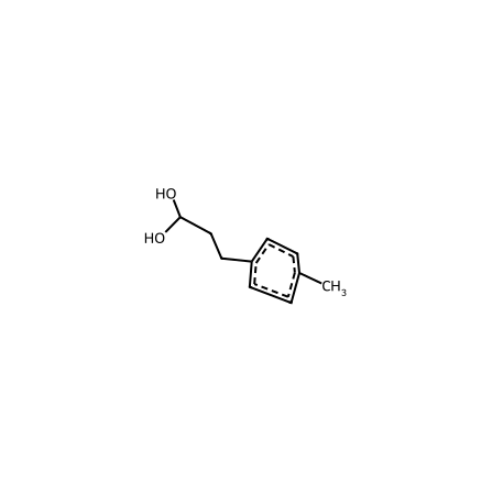 Cc1ccc(CCC(O)O)cc1